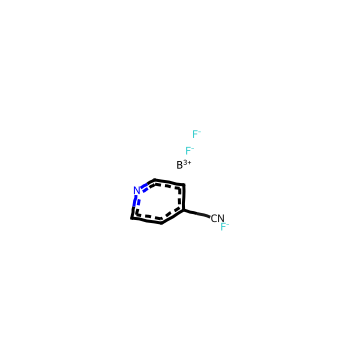 N#Cc1ccncc1.[B+3].[F-].[F-].[F-]